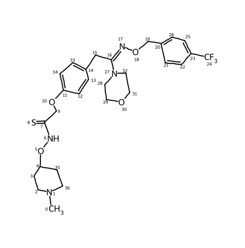 CN1CCC(ONC(=S)COc2ccc(CC(=NOCc3ccc(C(F)(F)F)cc3)N3CCOCC3)cc2)CC1